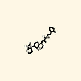 C=C(/C=C(\N=C/N)N1CCC(n2c(=O)[nH]c3ncccc32)CC1)C(=O)NCCC1C=CC=CC1F